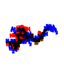 NCC1OC(OC2C(Cn3cc(CCC(=O)NCCc4nc(-c5nc(C(=O)NCCCCN=C(N)N)cs5)cs4)nn3)OC(OC3C(O)C(N)CC(N)C3OC3OC(CN)C(O)C(O)C3N)C2O)C(N)C(O)C1O